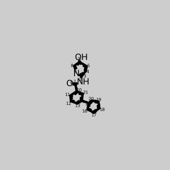 O=C(Nc1ccc(O)cn1)c1cccc(-c2ccccc2)c1